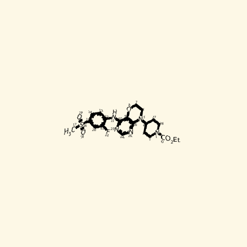 CCOC(=O)N1CCC(N2CCOc3c(Nc4ccc(S(C)(=O)=O)cc4F)ncnc32)CC1